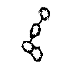 [c]1cc(-c2ncco2)ccc1-c1cccc2ccccc12